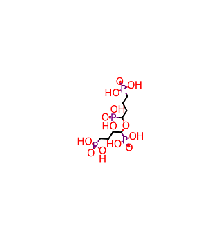 O=P(O)(O)CCCC(OC(CCCP(=O)(O)O)P(=O)(O)O)P(=O)(O)O